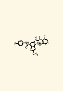 Cc1cc2c3c(cc(C(=O)Nc4ccc(F)cc4)c2o1)NC(Nc1c(Cl)cncc1Cl)N3